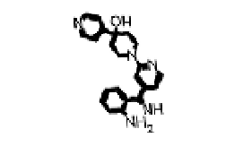 N=C(c1ccnc(N2CCC(O)(c3ccncc3)CC2)c1)c1ccccc1N